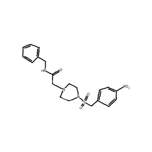 O=C(CN1CCN(S(=O)(=O)Cc2ccc([N+](=O)[O-])cc2)CC1)NCc1ccccc1